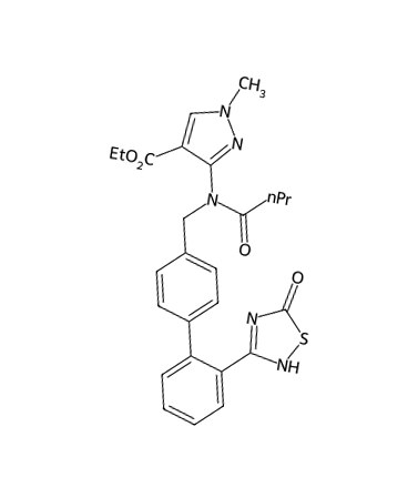 CCCC(=O)N(Cc1ccc(-c2ccccc2-c2nc(=O)s[nH]2)cc1)c1nn(C)cc1C(=O)OCC